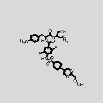 CCC(CC)OC(=O)[C@H](Cc1ccc(N)cc1)NC(=O)c1cc(F)c(NS(=O)(=O)c2ccc(-c3cnc(COC)nc3)cc2)cc1F